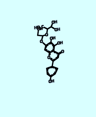 O=C(O)C(OC(CO)Oc1cc2oc(-c3ccc(O)cc3)cc(=O)c2c(O)c1O)C(O)O